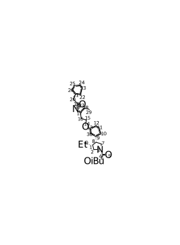 CC[C@H]1CN(C(=O)OCC(C)C)C[C@H]1c1cccc(OCCc2nc(Cc3ccccc3)oc2C)c1